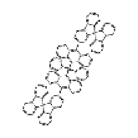 c1ccc([Si](c2ccccc2)(c2c3ccccc3c(-c3ccc4c(c3)C3(c5ccccc5-c5ccccc53)c3ccccc3-4)c3ccccc23)c2c3ccccc3c(-c3ccc4c(c3)C3(c5ccccc5-c5ccccc53)c3ccccc3-4)c3ccccc23)cc1